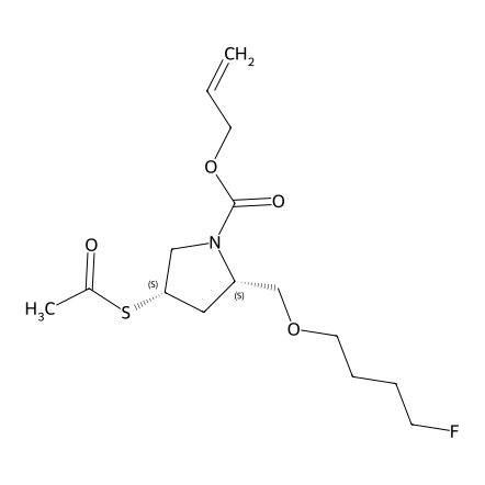 C=CCOC(=O)N1C[C@@H](SC(C)=O)C[C@H]1COCCCCF